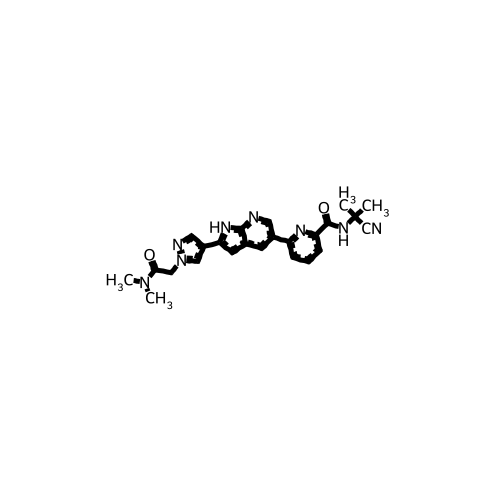 CN(C)C(=O)Cn1cc(-c2cc3cc(-c4cccc(C(=O)NC(C)(C)C#N)n4)cnc3[nH]2)cn1